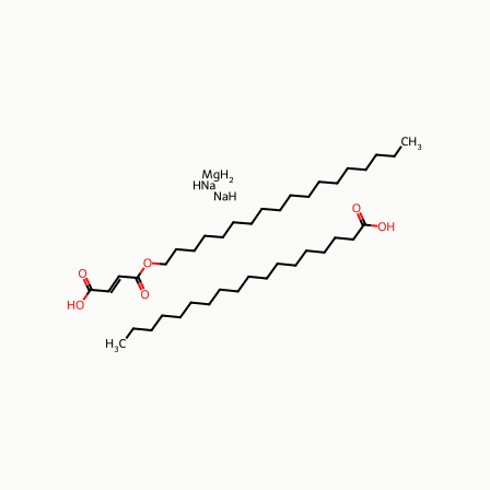 CCCCCCCCCCCCCCCCCC(=O)O.CCCCCCCCCCCCCCCCCCOC(=O)C=CC(=O)O.[MgH2].[NaH].[NaH]